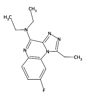 CCc1nnc2c(N(CC)CC)nc3ccc(F)cc3n12